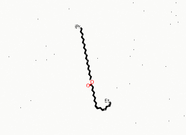 CC/C=C\C/C=C\C/C=C\CCCCCCCC(=O)OCCCCCCCCCCCCCCCCCCCCC(C)C